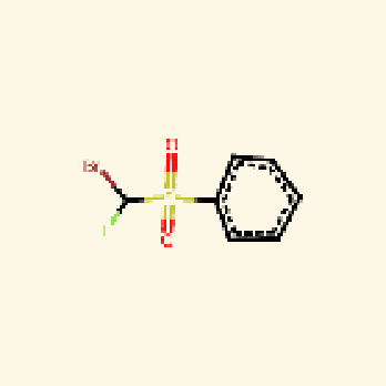 O=S(=O)([C](F)Br)c1ccccc1